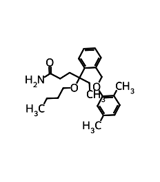 CCCCOC(CC)(CCC(N)=O)c1ccccc1COc1cc(C)ccc1C